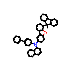 CC1(c2cccc3c2oc2ccc(N(c4ccc(-c5ccccc5)cc4)c4cccc5ccccc45)cc23)c2ccccc2-c2ccccc21